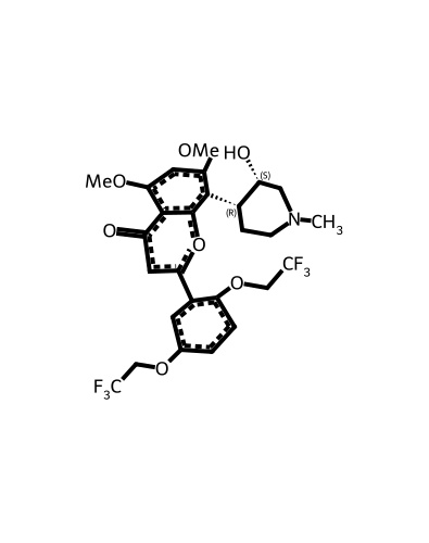 COc1cc(OC)c2c(=O)cc(-c3cc(OCC(F)(F)F)ccc3OCC(F)(F)F)oc2c1[C@H]1CCN(C)C[C@H]1O